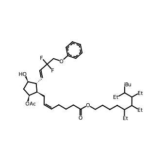 CCC(C)C(CC)C(CC)C(CC)C(CC)CCCCOC(=O)CCC/C=C\C[C@@H]1[C@@H](/C=C/C(F)(F)COc2ccccc2)[C@H](O)C[C@@H]1OC(C)=O